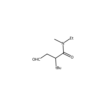 CCN(C)C(=O)C(CC=O)C(C)(C)C